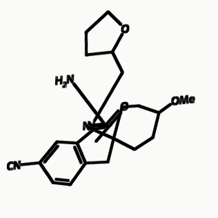 [C-]#[N+]c1ccc2c(c1)C1(N=C(N)N(CC3CCCO3)C1=O)C1(CCC(OC)CC1)C2